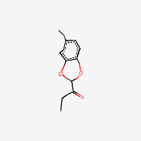 CCC(=O)C1Oc2ccc(C)cc2O1